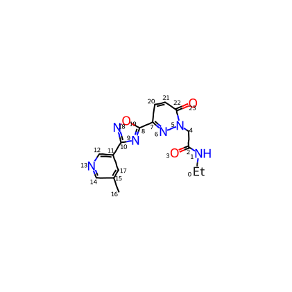 CCNC(=O)Cn1nc(-c2nc(-c3cncc(C)c3)no2)ccc1=O